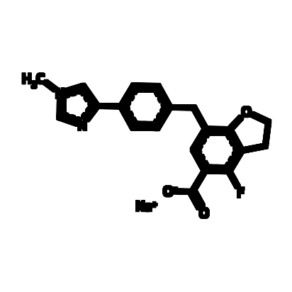 Cn1cnc(-c2ccc(Cc3cc(C(=O)[O-])c(F)c4c3OCC4)cc2)c1.[Na+]